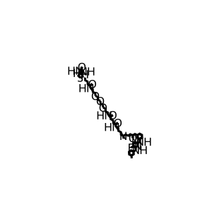 Cc1cccc(Nc2nc(Nc3cccc(CC(=O)/C=C/CN(C)CCCCNC(=O)CCCC(=O)NCCCOCCOCCOCCCNC(=O)CCCC[C@@H]4SC[C@@H]5NC(=O)N[C@@H]54)c3)ncc2F)c1